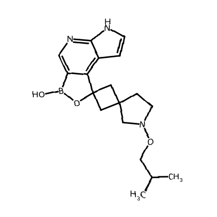 CC(C)CON1CCC2(C1)CC1(C2)OB(O)c2cnc3[nH]ccc3c21